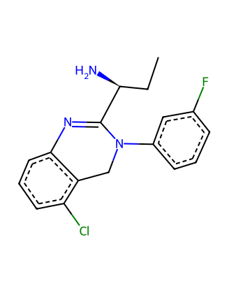 CC[C@H](N)C1=Nc2cccc(Cl)c2CN1c1cccc(F)c1